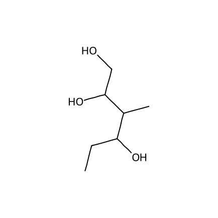 CCC(O)C(C)C(O)CO